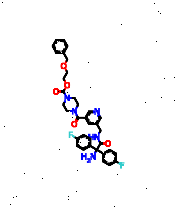 NC(C(=O)NCc1cncc(C(=O)N2CCN(C(=O)OCCOCc3ccccc3)CC2)c1)(c1ccc(F)cc1)c1ccc(F)cc1